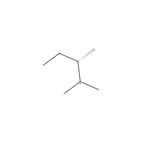 CC[C@H](C)[C](C)C